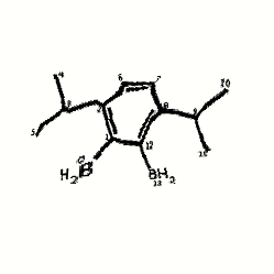 Bc1c(C(C)C)ccc(C(C)C)c1B